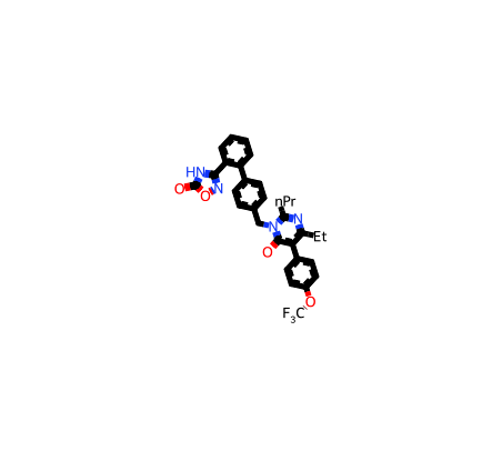 CCCc1nc(CC)c(-c2ccc(OC(F)(F)F)cc2)c(=O)n1Cc1ccc(-c2ccccc2-c2noc(=O)[nH]2)cc1